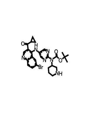 CC(C)(C)OC(=O)N(c1ncc(Nc2c(C(=O)C3CC3)cnc3ccc(Br)cc23)cn1)C1CCCNC1